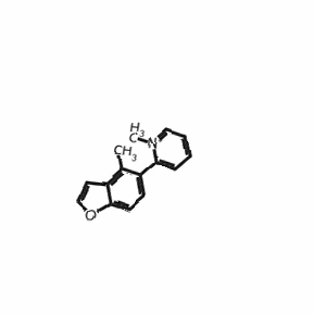 Cc1c(-c2cccc[n+]2C)ccc2occc12